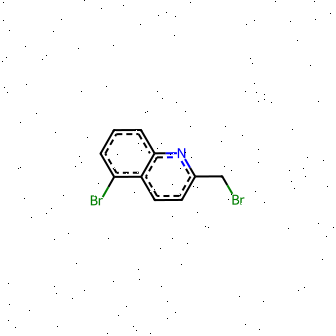 BrCc1ccc2c(Br)cccc2n1